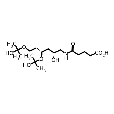 CC(C)(O)OCC[C@H](C[C@@H](O)CNC(=O)CCCC(=O)O)OC(C)(C)O